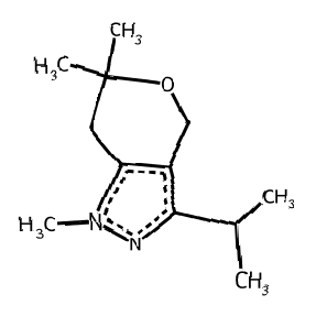 CC(C)c1nn(C)c2c1COC(C)(C)C2